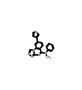 CN(c1ccccc1)c1nc2nncn2c2cc(-c3ccsc3)ccc12